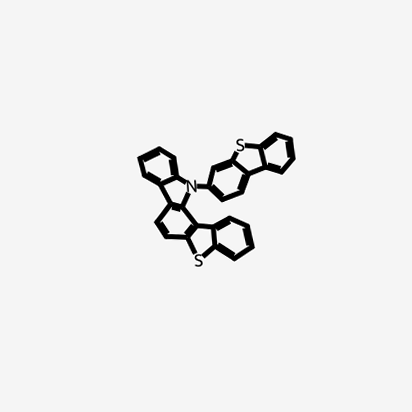 c1ccc2c(c1)sc1cc(-n3c4ccccc4c4ccc5sc6ccccc6c5c43)ccc12